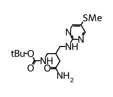 CSc1cnc(NCC(CNC(=O)OC(C)(C)C)CC(N)=O)nc1